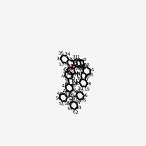 c1ccc(-c2ccccc2-n2c3ccccc3c3cccc(-n4c5cc(-n6c7ccccc7c7ccccc76)ccc5c5ccc([Si](c6ccccc6)(c6ccccc6)c6ccccc6)cc54)c32)cc1